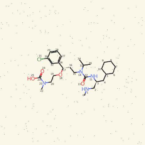 CNC[C@H](CC1CCCCC1)NC(=O)N(CC[C@H](OCCN(C)C(=O)O)c1cccc(Cl)c1)C(C)C